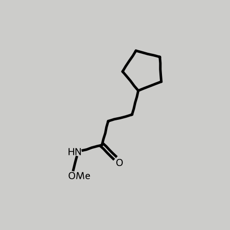 CONC(=O)CCC1CCCC1